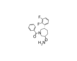 NO[C@@H]1CC[C@@H](c2cccc(F)c2F)CN(C(=O)c2ccccc2)C1